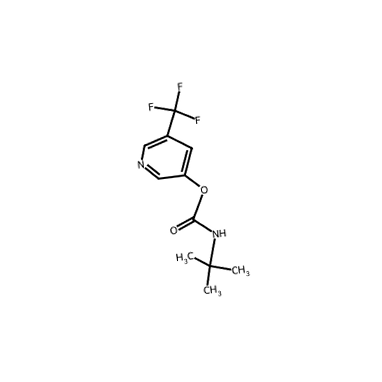 CC(C)(C)NC(=O)Oc1cncc(C(F)(F)F)c1